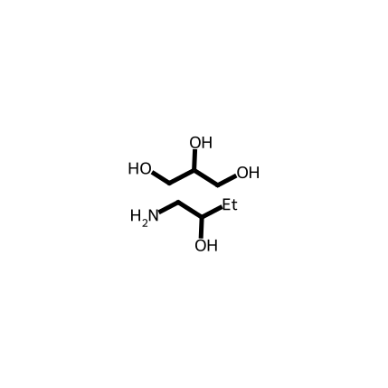 CCC(O)CN.OCC(O)CO